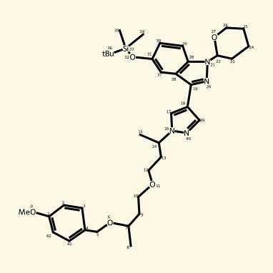 COc1ccc(COC(C)CCOCCC(C)n2cc(-c3nn(C4CCCCO4)c4ccc(O[Si](C)(C)C(C)(C)C)cc34)cn2)cc1